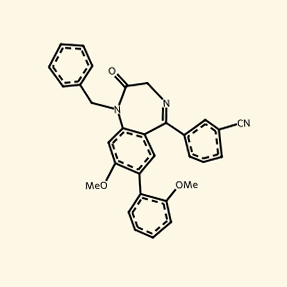 COc1ccccc1-c1cc2c(cc1OC)N(Cc1ccccc1)C(=O)CN=C2c1cccc(C#N)c1